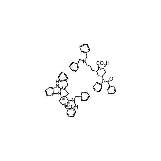 O=C(O)N1CCC(N(C(=O)c2ccccc2)c2ccccc2)CC1CCCN(Cc1ccccc1)Cc1ccccc1.O=C(O)N1CC[C@H](n2c(=O)[nH]c3ccccc32)C(CCCc2ccccc2)[C@H]1N(Cc1ccccc1)Cc1ccccc1